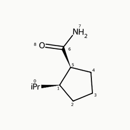 CC(C)[C@@H]1CCC[C@@H]1C(N)=O